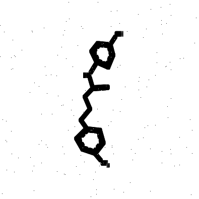 O=C(CCCc1ccc(C(F)(F)F)cc1)Nc1ccc(O)cc1